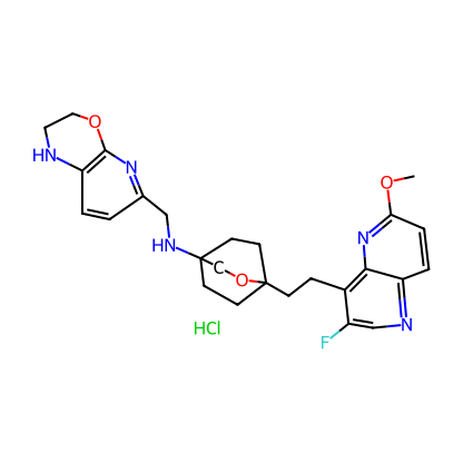 COc1ccc2ncc(F)c(CCC34CCC(NCc5ccc6c(n5)OCCN6)(CC3)CO4)c2n1.Cl